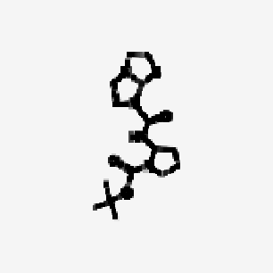 CC(C)(C)OC(=O)N1CCCC1NC(=O)N1C=CN2C=CSC21